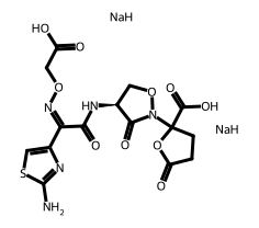 Nc1nc(/C(=N/OCC(=O)O)C(=O)N[C@H]2CON(C3(C(=O)O)CCC(=O)O3)C2=O)cs1.[NaH].[NaH]